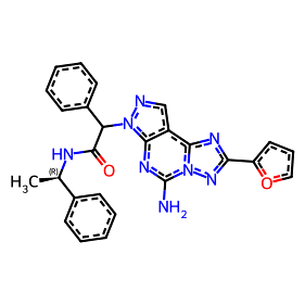 C[C@@H](NC(=O)C(c1ccccc1)n1ncc2c1nc(N)n1nc(-c3ccco3)nc21)c1ccccc1